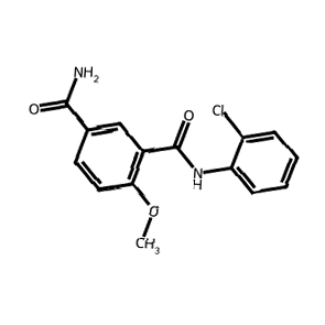 COc1ccc(C(N)=O)cc1C(=O)Nc1ccccc1Cl